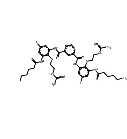 CCCCCC(=O)Nc1cc(F)cc(NC(=O)c2cc(C(=O)Nc3cc(F)cc(NC(=O)CCCCN)c3SCCNC(=N)N)ncn2)c1SCCNC(=N)N